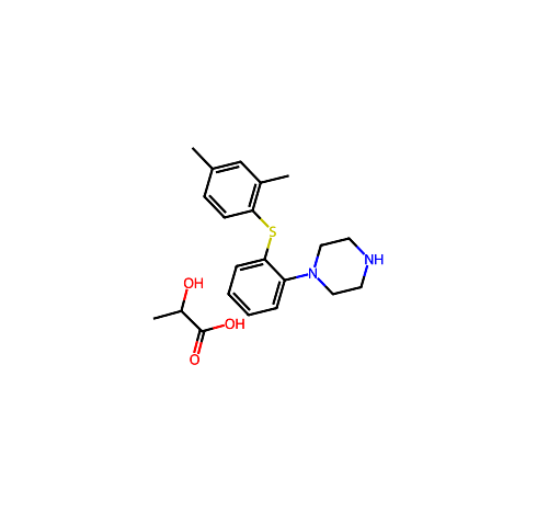 CC(O)C(=O)O.Cc1ccc(Sc2ccccc2N2CCNCC2)c(C)c1